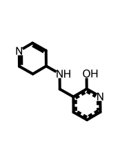 Oc1ncccc1CNC1C=CN=CC1